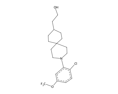 OCCC1CCC2(CC1)CCN(c1cc(OC(F)(F)F)ccc1Cl)CC2